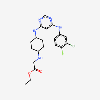 CCOC(=O)CNC1CCC(Nc2cc(Nc3ccc(F)c(Cl)c3)ncn2)CC1